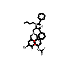 CCCCn1c(-c2ccccc2)nc(-c2ccccc2)c1CN(Cc1ccc(OC(F)F)cc1)Cc1ccc(F)c(Br)c1